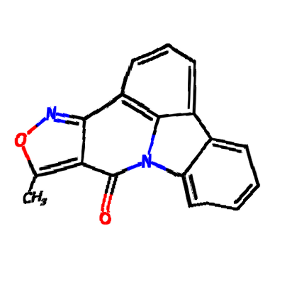 Cc1onc2c1c(=O)n1c3ccccc3c3cccc2c31